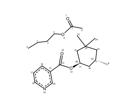 CCCCOC(C)=O.C[C@@H]1C[C@@H](OC(=O)c2cccnc2)CC(C)(C)C1